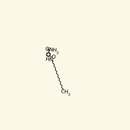 CCCCCCCCCCCCCCCCCCNC(=O)c1cccc(C(N)=O)c1